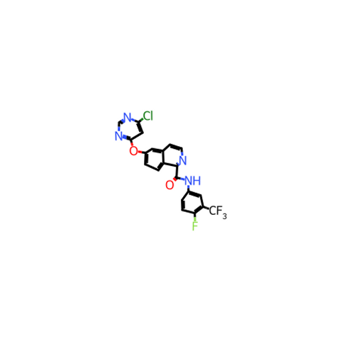 O=C(Nc1ccc(F)c(C(F)(F)F)c1)c1nccc2cc(Oc3cc(Cl)ncn3)ccc12